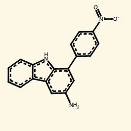 Nc1cc(-c2ccc([N+](=O)[O-])cc2)c2[nH]c3ccccc3c2c1